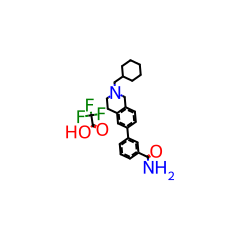 NC(=O)c1cccc(-c2ccc3c(c2)CCN(CC2CCCCC2)C3)c1.O=C(O)C(F)(F)F